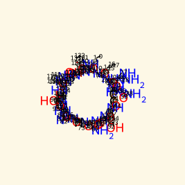 C=CCCCC[C@H]1C(=O)N(C)[C@@H](CCCCC=C)C(=O)N[C@@H](CCCNC(=N)N)C(=O)N[C@H](C(=O)NCC(N)=O)CSCC(=O)N[C@@H](Cc2ccc(O)cc2)C(=O)N(C)[C@@H](C)C(=O)N[C@@H](CC(N)=O)C(=O)N2CCC[C@H]2C(=O)N[C@@H](Cc2cnc[nH]2)C(=O)N[C@@H](CC(C)C)C(=O)N2C[C@H](O)C[C@H]2C(=O)N[C@@H](Cc2c[nH]c3ccccc23)C(=O)N[C@@H](CO)C(=O)N[C@@H](Cc2c[nH]c3ccccc23)C(=O)N1C